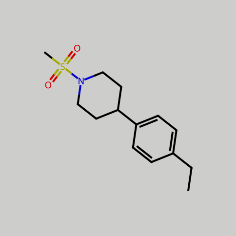 CCc1ccc(C2CCN(S(C)(=O)=O)CC2)cc1